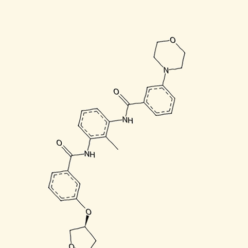 Cc1c(NC(=O)c2cccc(O[C@H]3CCOC3)c2)cccc1NC(=O)c1cccc(N2CCOCC2)c1